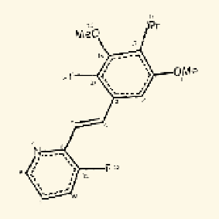 COc1cc(C=Cc2ncccc2F)c(F)c(OC)c1C(C)C